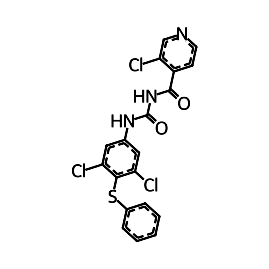 O=C(NC(=O)c1ccncc1Cl)Nc1cc(Cl)c(Sc2ccccc2)c(Cl)c1